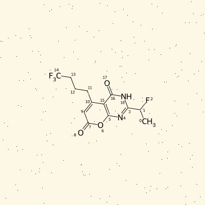 CC(F)c1nc2oc(=O)cc(CCCC(F)(F)F)c2c(=O)[nH]1